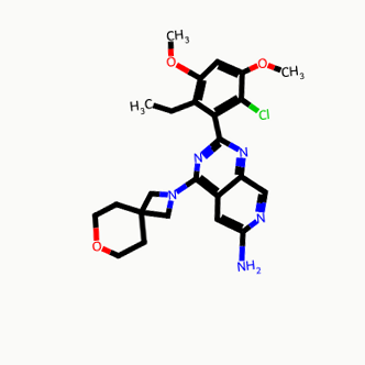 CCc1c(OC)cc(OC)c(Cl)c1-c1nc(N2CC3(CCOCC3)C2)c2cc(N)ncc2n1